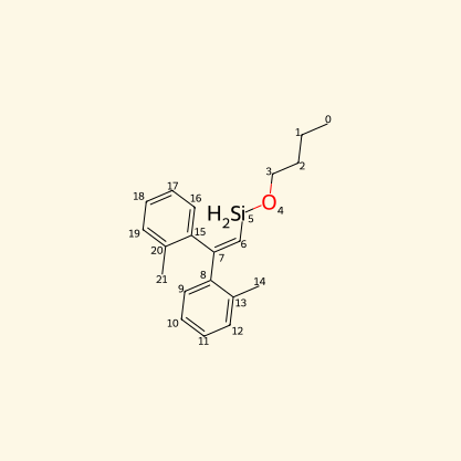 CCCCO[SiH2]C=C(c1ccccc1C)c1ccccc1C